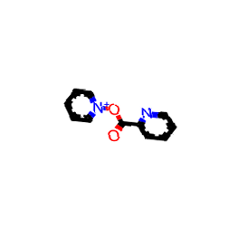 O=C(O[n+]1ccccc1)c1ccccn1